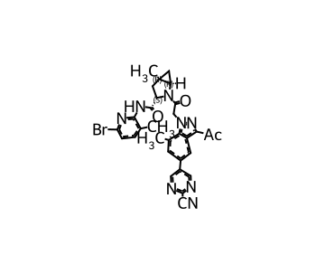 CC(=O)c1nn(CC(=O)N2[C@H](C(=O)Nc3nc(Br)ccc3C)C[C@@]3(C)C[C@@H]23)c2c(C)cc(-c3cnc(C#N)nc3)cc12